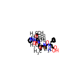 CCO[C@H](C[C@H](C(C)C)N(C)C(=O)[C@@H](NC(=O)[C@H]1CCCCN1C)[C@H](C)OC(C)(C)C)c1nc(C(=O)N[C@@H](Cc2ccccc2)C[C@H](C)C(=O)O)cs1